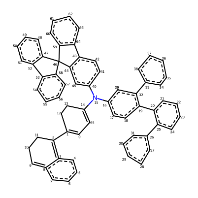 C1=C(C2=c3ccccc3=CCC2)CCC(N(c2ccc(-c3ccccc3-c3ccccc3)c(-c3ccccc3)c2)c2ccc3c(c2)C2(c4ccccc4-c4ccccc42)c2ccccc2-3)=C1